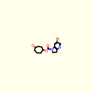 O=C1CCCC(OC(=O)N2CCc3ncc(Br)cc32)CC1